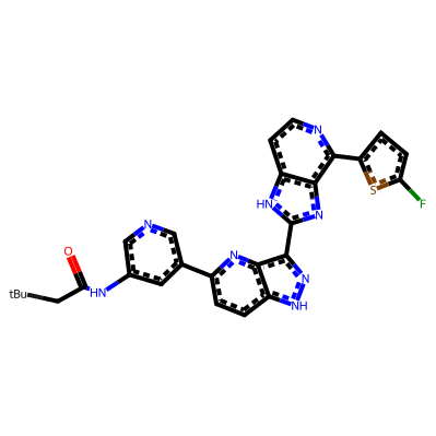 CC(C)(C)CC(=O)Nc1cncc(-c2ccc3[nH]nc(-c4nc5c(-c6ccc(F)s6)nccc5[nH]4)c3n2)c1